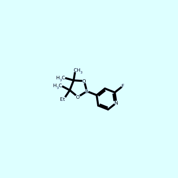 CCC1(C)OB(c2ccnc(F)c2)OC1(C)C